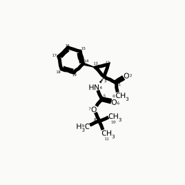 CC(=O)[C@]1(NC(=O)OC(C)(C)C)C[C@@H]1c1ccccc1